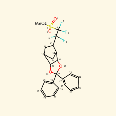 COS(=O)(=O)C(F)(F)C(F)(F)C1CC2CC1C1OC(c3ccccc3)(c3ccccc3)OC21